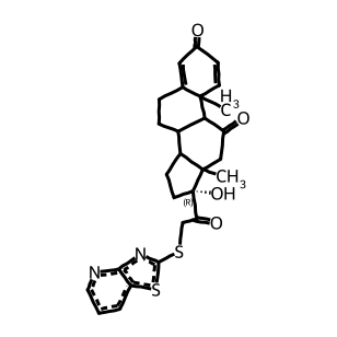 CC12C=CC(=O)C=C1CCC1C2C(=O)CC2(C)C1CC[C@]2(O)C(=O)CSc1nc2ncccc2s1